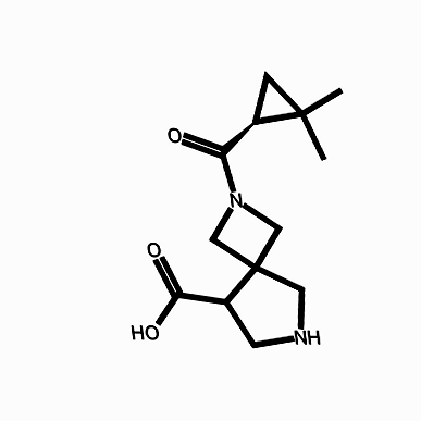 CC1(C)C[C@@H]1C(=O)N1CC2(CNCC2C(=O)O)C1